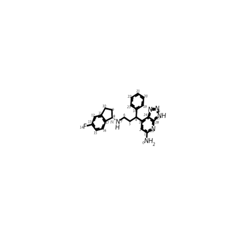 Nc1cc(C(CCN[C@H]2CCc3cc(F)ccc32)c2ccccc2)c2nn[nH]c2n1